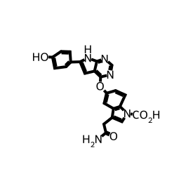 NC(=O)Cc1cn(C(=O)O)c2ccc(Oc3ncnc4[nH]c(-c5ccc(O)cc5)cc34)cc12